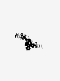 COC(=O)c1ccc2c(C3CCCCC3)c3n(c2c1)C[C@@H]1CCN(CCNC(=O)OC(C)(C)C)[C@H]1c1ccccc1-3